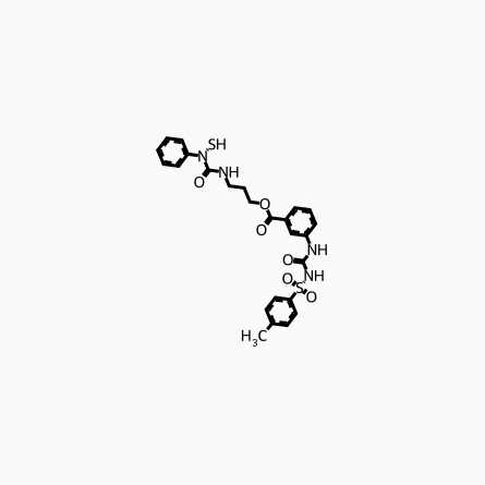 Cc1ccc(S(=O)(=O)NC(=O)Nc2cccc(C(=O)OCCCNC(=O)N(S)c3ccccc3)c2)cc1